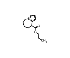 CCCOC(=O)C1CCCCn2cccc21